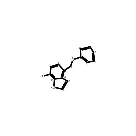 Fc1ccc(COc2ccccc2)c2c[c]oc12